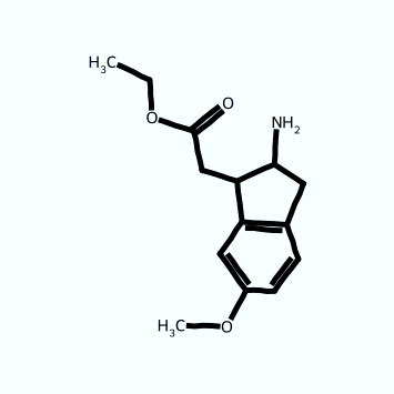 CCOC(=O)CC1c2cc(OC)ccc2CC1N